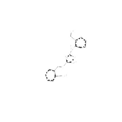 CCc1ccccc1Nc1n[nH]c(SCc2ccccc2C)n1